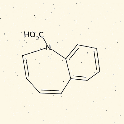 O=C(O)N1C=CC=Cc2ccccc21